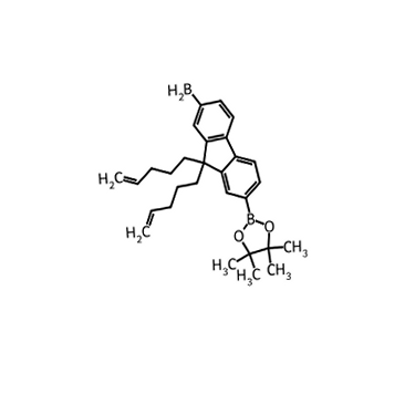 Bc1ccc2c(c1)C(CCCC=C)(CCCC=C)c1cc(B3OC(C)(C)C(C)(C)O3)ccc1-2